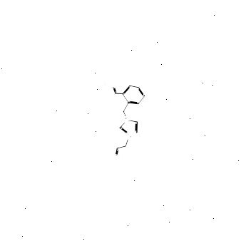 C=CC[n+]1ccn(Cc2ccccc2C=C)c1